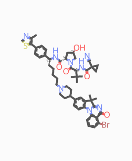 Cc1ncsc1-c1ccc([C@H](CCCCCN2CCC(c3ccc4c(c3)C(C)(C)c3nc(=O)c5c(Br)cccc5n3-4)CC2)NC(=O)[C@@H]2C[C@@H](O)CN2C(=O)[C@@H](NC(=O)C2(C#N)CC2)C(C)(C)C)cc1